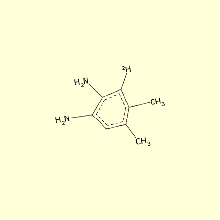 [2H]c1c(C)c(C)cc(N)c1N